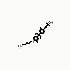 CCC(CC)(c1ccc(C#CC(C)(C)O)c(C)c1)c1ccc(OCCCCCN)c(C)c1